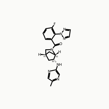 Cc1cnc(N[C@@H]2C[C@H]3C[C@@H]2N(C(=O)c2cccc(F)c2-n2nccn2)C3)cn1